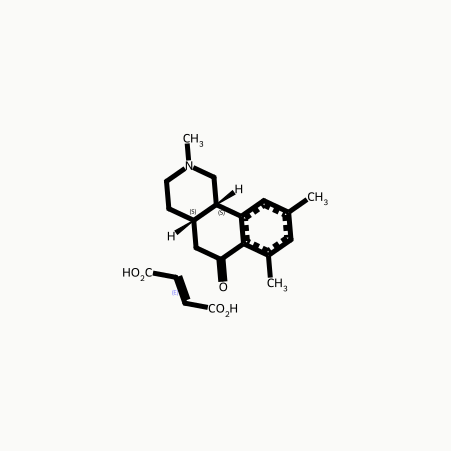 Cc1cc(C)c2c(c1)[C@H]1CN(C)CC[C@H]1CC2=O.O=C(O)/C=C/C(=O)O